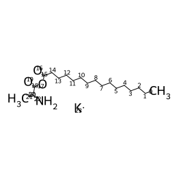 CCCCCCCCCCCCCCCC(=O)OC(=O)[C@H](C)N.[K]